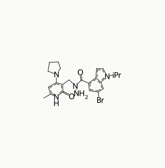 Cc1cc(N2CCCC2)c(CN(N)C(=O)c2cc(Br)cc3c2ccn3C(C)C)c(=O)[nH]1